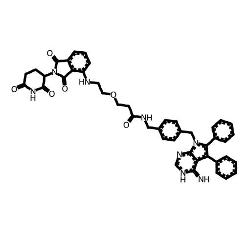 N=c1[nH]cnc2c1c(-c1ccccc1)c(-c1ccccc1)n2Cc1ccc(CNC(=O)CCOCCNc2cccc3c2C(=O)N(C2CCC(=O)NC2=O)C3=O)cc1